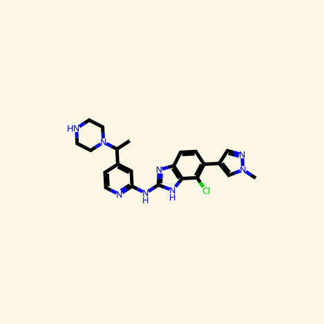 CC(c1ccnc(Nc2nc3ccc(-c4cnn(C)c4)c(Cl)c3[nH]2)c1)N1CCNCC1